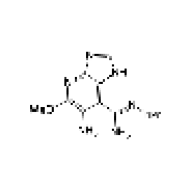 CCCN=C(N)c1c(N)c(OC)nc2nc[nH]c12